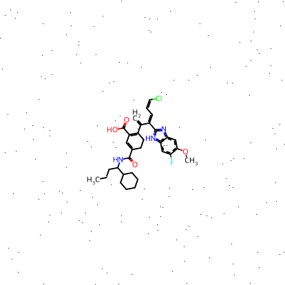 C=C(C1=C(C(=O)O)C=C(C(=O)NC(CCC)C2CCCCC2)CC1)/C(=C\C=C/Cl)c1nc2cc(OC)c(F)cc2[nH]1